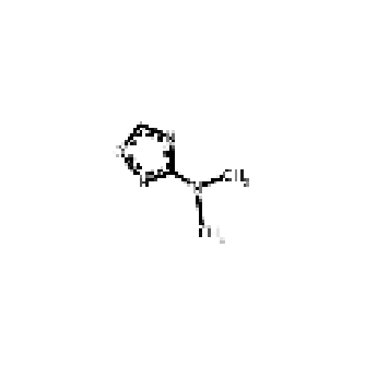 CN(C)c1n[c]on1